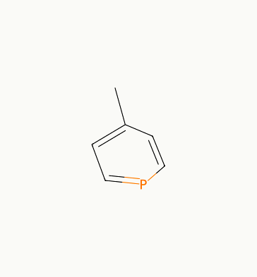 Cc1ccpcc1